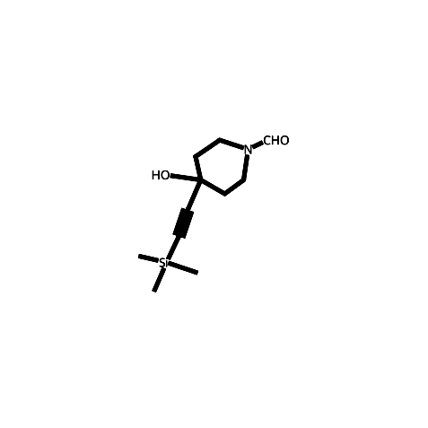 C[Si](C)(C)C#CC1(O)CCN(C=O)CC1